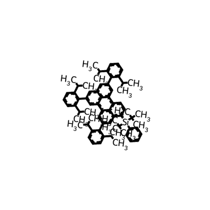 CC(C)c1cccc(C(C)C)c1-c1cc2cc(-c3c(C(C)C)cccc3C(C)C)cc3c4cc(-c5c(C(C)C)cccc5C(C)C)cc5c([Si](c6ccccc6)(C(C)(C)C)C(C)(C)C)ccc(c(c1)c23)c54